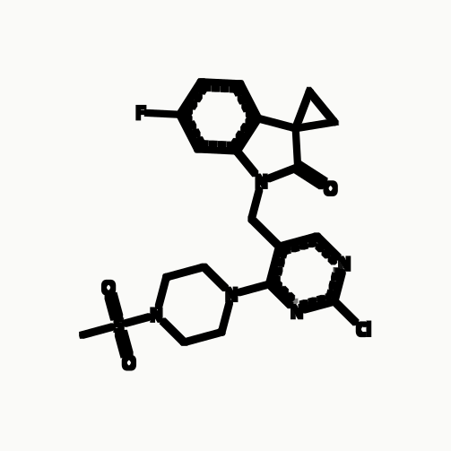 CS(=O)(=O)N1CCN(c2nc(Cl)ncc2CN2C(=O)C3(CC3)c3ccc(F)cc32)CC1